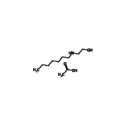 CC(=O)O.CCCCCCCNCCO